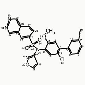 COc1cc(-c2cccc(F)c2)c(Cl)cc1N(c1ccon1)S(=O)(=O)c1ccc2cnncc2c1